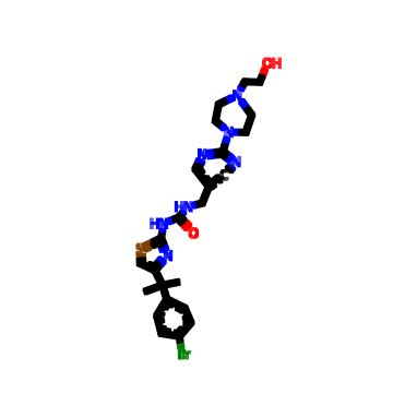 CC(C)(c1ccc(Br)cc1)c1csc(NC(=O)NCc2cnc(N3CCN(CCO)CC3)nc2)n1